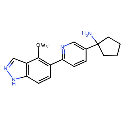 COc1c(-c2ccc(C3(N)CCCC3)cn2)ccc2[nH]ncc12